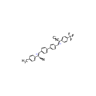 [C-]#[N+]/C(=C\c1ccc(-c2ccc(/C=C(\C#N)c3ccc(C)cc3)cc2)cc1)c1ccc(C(F)(F)F)cc1